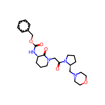 O=C(N[C@@H]1CCCN(CC(=O)N2CCC[C@H]2CN2CCOCC2)C1=O)OCc1ccccc1